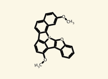 COc1ccc2ccc3c4ccc(OC)c5c6c7ccccc7oc6n(c3c2c1)c45